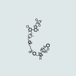 Cc1cc(Cl)cc(-c2ccnc3cc(CN4C(=O)C5CC5C4=O)sc23)c1CN1[C@@H](C)CN(Cc2cnn(CCCC[S+]([O-])c3ccc(Cc4nc(C(=O)N[C@H]5COc6ccccc6N(C)C5=O)n[nH]4)cc3)c2)C[C@@H]1C